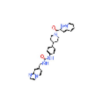 O=C(NCc1ccn2ccnc2c1)Nc1ccc(C2CCN(C(=O)c3cc4ccccn4n3)CC2)cc1